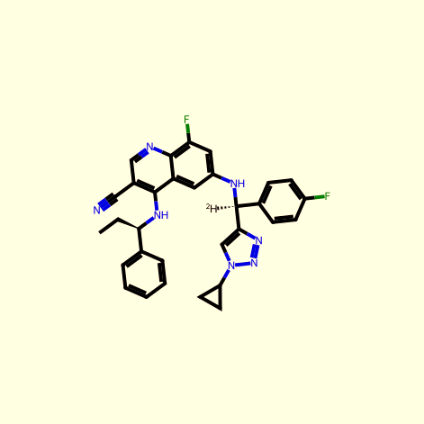 [2H][C@](Nc1cc(F)c2ncc(C#N)c(N[C@H](CC)c3ccccc3)c2c1)(c1ccc(F)cc1)c1cn(C2CC2)nn1